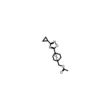 CC(=O)OCC12CCC(c3nc(C4CC4)no3)(CC1)OC2